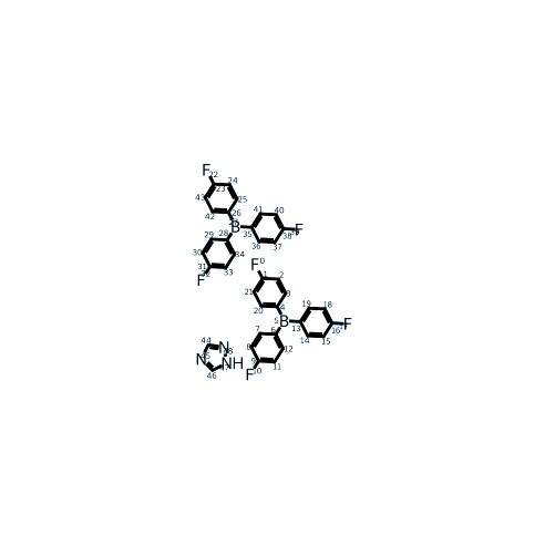 Fc1ccc(B(c2ccc(F)cc2)c2ccc(F)cc2)cc1.Fc1ccc(B(c2ccc(F)cc2)c2ccc(F)cc2)cc1.c1nc[nH]n1